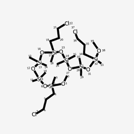 CO[Si](C)(CCCCl)O[Si](C)(C)O[Si](C)(C)O[Si](C)(CCCCl)O[Si](C)(C)O[Si](C)(C)O[Si](C)(CCCCl)OC